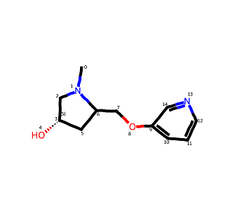 CN1C[C@@H](O)CC1COc1cccnc1